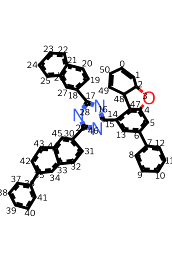 C1=CC2Oc3cc(-c4ccccc4)cc(-c4nc(-c5ccc6ccccc6c5)nc(-c5ccc6cc(-c7ccccc7)ccc6c5)n4)c3C2C=C1